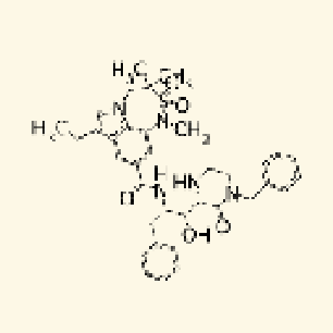 CCc1cn2c3c(cc(C(=O)N[C@@H](Cc4ccccc4)[C@H](O)[C@@H]4NCCN(Cc5ccccc5)C4=O)cc13)N(C)S(=O)(=O)C(C)(C)C2